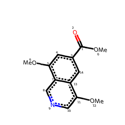 COC(=O)c1cc(OC)c2cncc(OC)c2c1